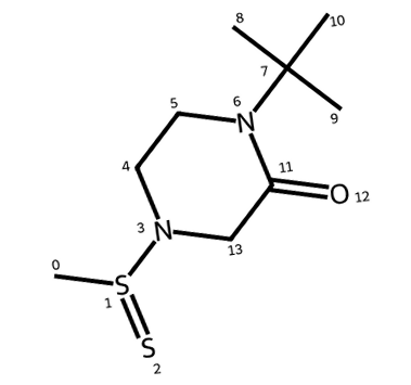 CS(=S)N1CCN(C(C)(C)C)C(=O)C1